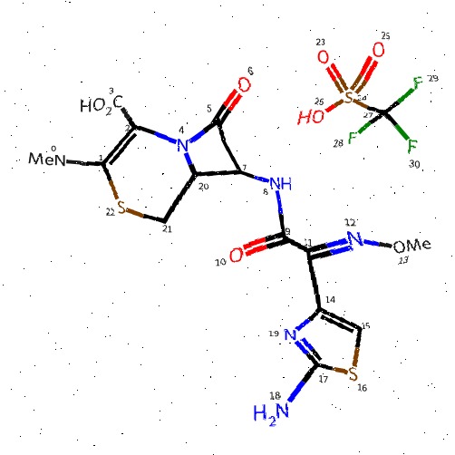 CNC1=C(C(=O)O)N2C(=O)C(NC(=O)C(=NOC)c3csc(N)n3)C2CS1.O=S(=O)(O)C(F)(F)F